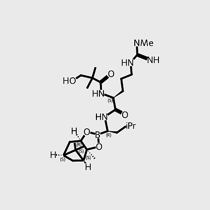 CNC(=N)NCCC[C@H](NC(=O)C(C)(C)CO)C(=O)N[C@@H](CC(C)C)B1O[C@@H]2C[C@@H]3C[C@@H](C3(C)C)[C@]2(C)O1